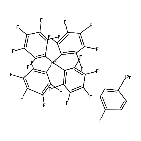 CC(C)c1ccc(I)cc1.Fc1c(F)c(F)c([B-](c2c(F)c(F)c(F)c(F)c2F)(c2c(F)c(F)c(F)c(F)c2F)c2c(F)c(F)c(F)c(F)c2F)c(F)c1F